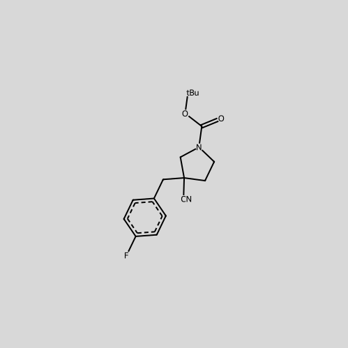 CC(C)(C)OC(=O)N1CCC(C#N)(Cc2ccc(F)cc2)C1